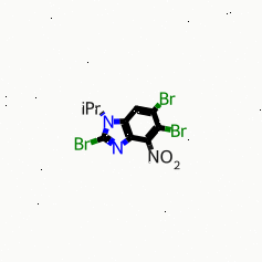 CC(C)n1c(Br)nc2c([N+](=O)[O-])c(Br)c(Br)cc21